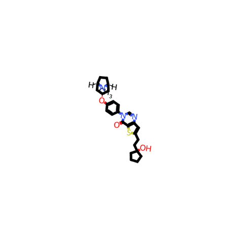 CN1[C@@H]2CC[C@H]1C[C@H](Oc1ccc(-n3cnc4cc(CCC5(O)CCCC5)sc4c3=O)cc1)C2